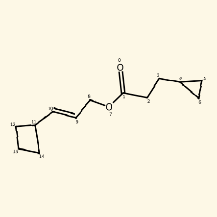 O=C(CCC1CC1)OCC=CC1CCC1